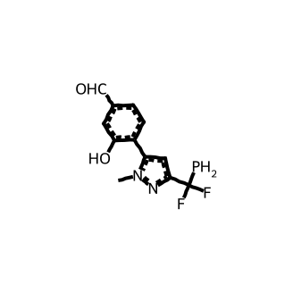 Cn1nc(C(F)(F)P)cc1-c1ccc(C=O)cc1O